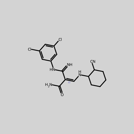 N#CC1CCCCC1N/C=C(\C(=N)Nc1cc(Cl)cc(Cl)c1)C(N)=O